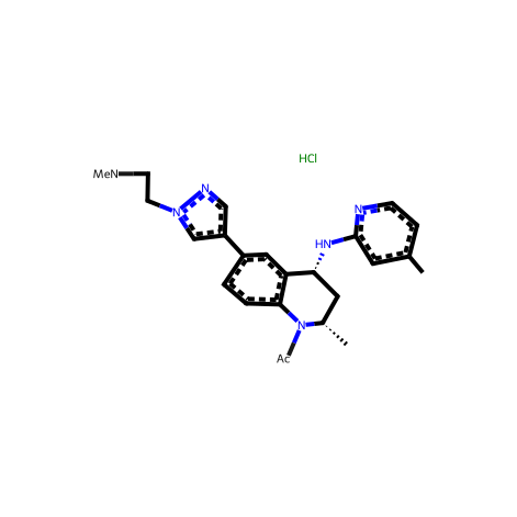 CNCCn1cc(-c2ccc3c(c2)[C@H](Nc2cc(C)ccn2)C[C@H](C)N3C(C)=O)cn1.Cl